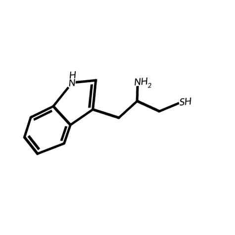 NC(CS)Cc1c[nH]c2ccccc12